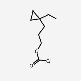 CCC1(CCCOC(=O)Cl)CC1